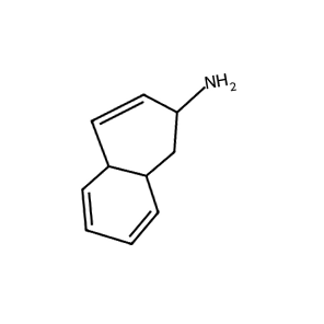 NC1C=CC2C=CC=CC2C1